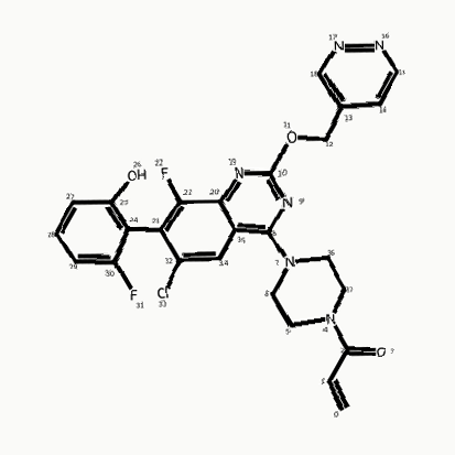 C=CC(=O)N1CCN(c2nc(OCc3ccnnc3)nc3c(F)c(-c4c(O)cccc4F)c(Cl)cc23)CC1